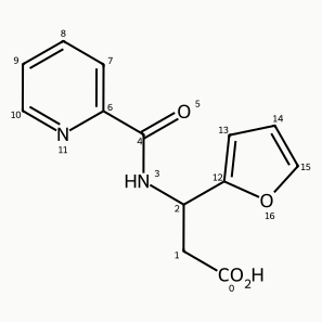 O=C(O)CC(NC(=O)c1ccccn1)c1ccco1